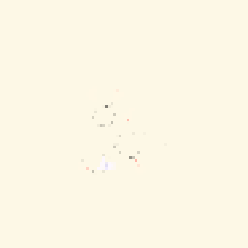 CCCOc1cc2c(c(OC)c1OC)-c1ccc(SC)c(=O)cc1[C@@H](NC(C)=O)CC2